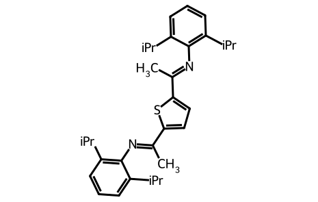 CC(=Nc1c(C(C)C)cccc1C(C)C)c1ccc(C(C)=Nc2c(C(C)C)cccc2C(C)C)s1